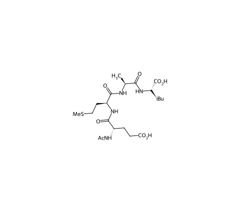 CC[C@H](C)[C@H](NC(=O)[C@H](C)NC(=O)[C@H](CCSC)NC(=O)[C@H](CCC(=O)O)NC(C)=O)C(=O)O